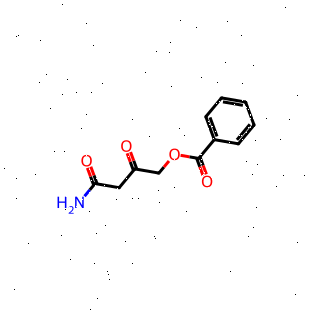 NC(=O)CC(=O)COC(=O)c1ccccc1